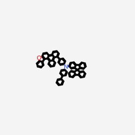 c1ccc(-c2ccc(N(c3ccc(-c4cccc5c6ccc7oc8ccccc8c7c6c6ccccc6c45)cc3)c3ccc4c(c3)C3(c5ccccc5-c5ccccc53)c3ccccc3-4)cc2)cc1